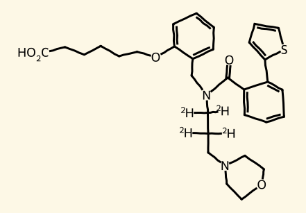 [2H]C([2H])(CN1CCOCC1)C([2H])([2H])N(Cc1ccccc1OCCCCCC(=O)O)C(=O)c1ccccc1-c1cccs1